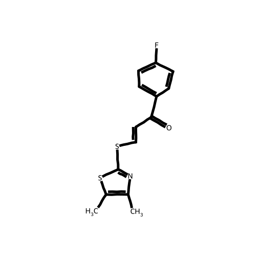 Cc1nc(S/C=C/C(=O)c2ccc(F)cc2)sc1C